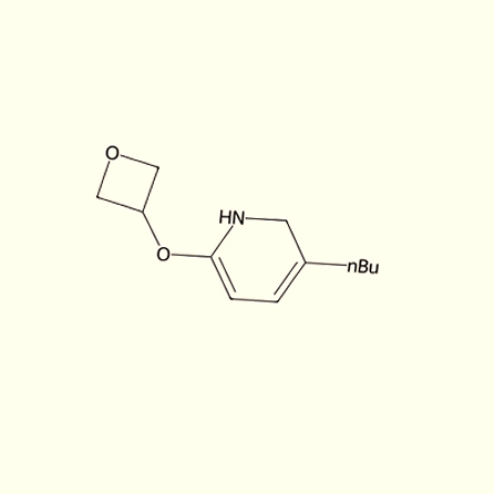 CCCCC1=CC=C(OC2COC2)NC1